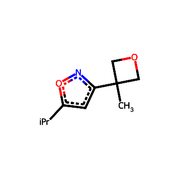 CC(C)c1cc(C2(C)COC2)no1